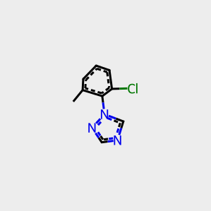 Cc1cccc(Cl)c1-n1cncn1